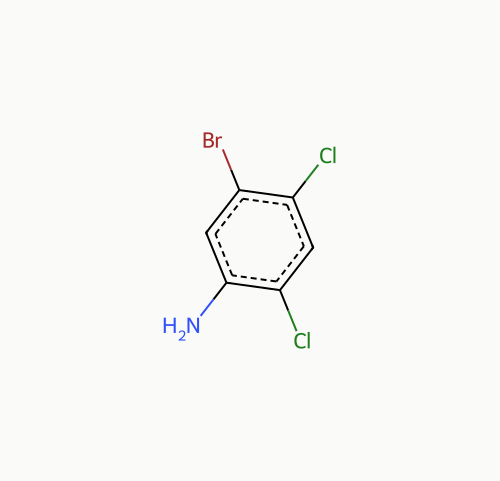 Nc1cc(Br)c(Cl)cc1Cl